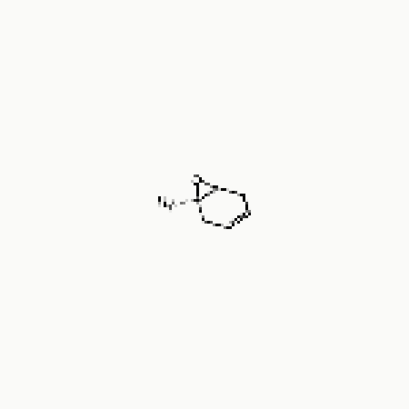 CC12CC=CCC1O2